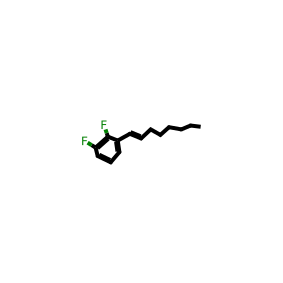 CCCCCCC=Cc1cccc(F)c1F